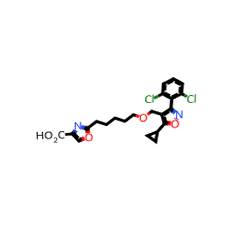 O=C(O)c1coc(CCCCCOCc2c(-c3c(Cl)cccc3Cl)noc2C2CC2)n1